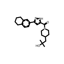 CC(C)(O)CC1CCN(C(=O)c2cc(-c3ccc4c(c3)CCCC4)n[nH]2)CC1